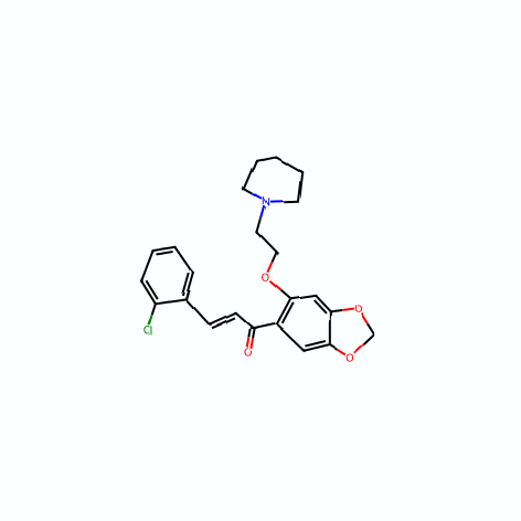 O=C(/C=C/c1ccccc1Cl)c1cc2c(cc1OCCN1CCCCC1)OCO2